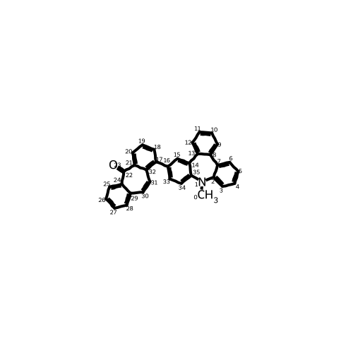 CN1c2ccccc2-c2ccccc2-c2cc(-c3cccc4c(=O)c5ccccc5ccc34)ccc21